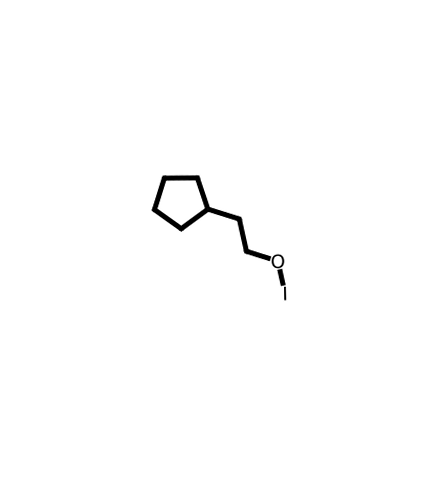 IOCCC1CCCC1